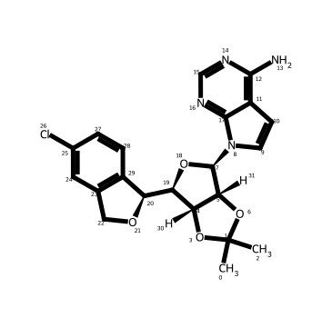 CC1(C)O[C@H]2[C@@H](O1)[C@H](n1ccc3c(N)ncnc31)O[C@@H]2[C@H]1OCc2cc(Cl)ccc21